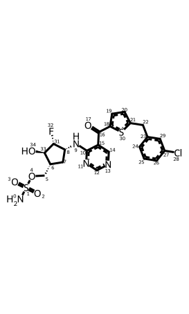 NS(=O)(=O)OC[C@H]1C[C@@H](Nc2ncncc2C(=O)c2ccc(Cc3cccc(Cl)c3)s2)[C@@H](F)[C@@H]1O